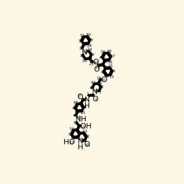 O=C(NCC(=O)N1CCC(COc2cccc(C(C(=O)OCC3CCN(Cc4ccccc4)CC3)c3ccccc3)c2)CC1)c1ccc(CNCC(O)c2ccc(O)c3[nH]c(=O)ccc23)cc1